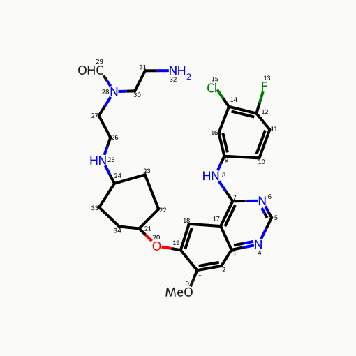 COc1cc2ncnc(Nc3ccc(F)c(Cl)c3)c2cc1OC1CCC(NCCN(C=O)CCN)CC1